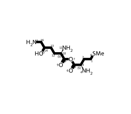 CSCC[C@H](N)C(=O)OC(=O)[C@@H](N)CCC(O)CN